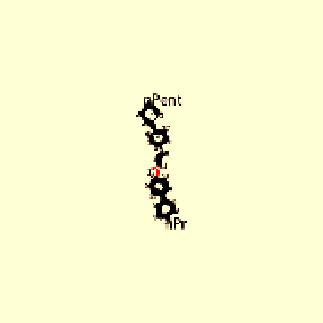 CCCCC[C@H]1CC[C@H]([C@H]2CC[C@H](/C=C/COc3ccc(C4CCC(CCC)CC4)cc3)CC2)CC1